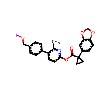 Cc1nc(OC(=O)C2(c3ccc4c(c3)OCO4)CC2)ccc1-c1ccc(COI)cc1